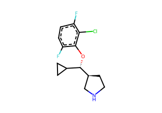 Fc1ccc(F)c(O[C@@H](C2CC2)[C@H]2CCNC2)c1Cl